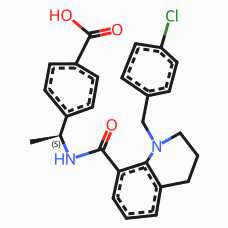 C[C@H](NC(=O)c1cccc2c1N(Cc1ccc(Cl)cc1)CCC2)c1ccc(C(=O)O)cc1